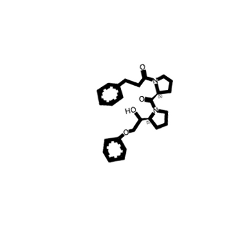 O=C(CCc1ccccc1)N1CCC[C@H]1C(=O)N1CCC[C@H]1C(O)COc1ccccc1